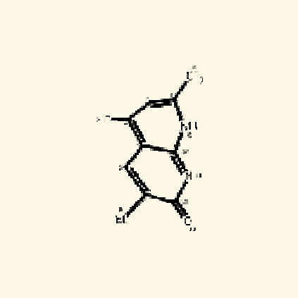 CCc1cc2c(F)cc(C(F)(F)F)[nH]c-2nc1=O